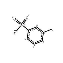 Cc1cncc(S(=O)(=O)Cl)c1